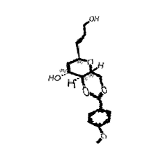 COc1ccc(C2OC[C@H]3O[C@H](CCCO)C[C@@H](O)[C@@H]3O2)cc1